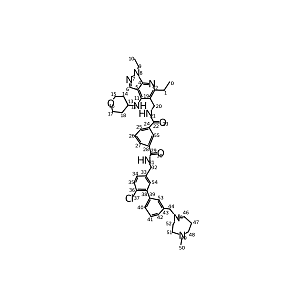 CCc1nc2c(cnn2CC)c(NC2CCOCC2)c1CNC(=O)c1cccc(C(=O)NCc2ccc(Cl)c(-c3cccc(CN4CCCN(C)CC4)c3)c2)c1